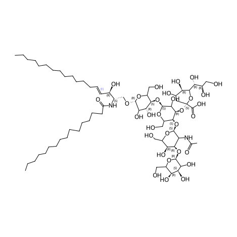 CCCCCCCCCCCCC/C=C/[C@@H](O)[C@H](CO[C@@H]1OC(CO)[C@@H](O[C@@H]2OC(CO)[C@H](O[C@@H]3OC(CO)[C@H](O)[C@H](O[C@@H]4OC(CO)[C@H](O)[C@H](O)C4O)C3NC(C)=O)[C@H](O[C@]3(C(=O)O)CC(O)[C@@H](O)C([C@H](O)[C@H](O)CO)O3)C2O)[C@H](O)C1O)NC(=O)CCCCCCCCCCCCCCC